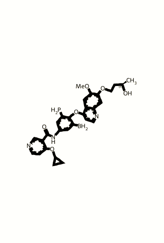 Bc1cc(NC(=O)c2cnccc2OC2CC2)cc(P)c1Oc1ccnc2cc(OCC[C@@H](C)O)c(OC)cc12